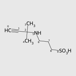 C#CC(C)(C)NCCCS(=O)(=O)O